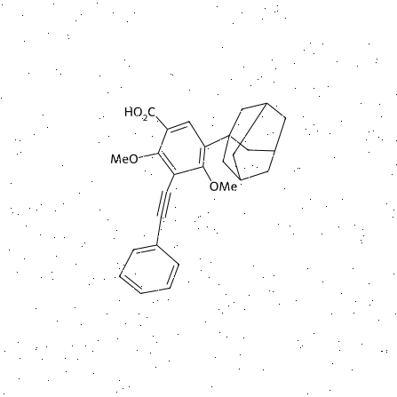 COc1c(C(=O)O)cc(C23CC4CC(CC(C4)C2)C3)c(OC)c1C#Cc1ccccc1